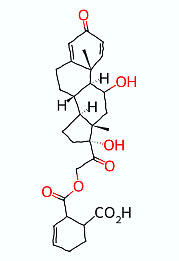 C[C@]12C=CC(=O)C=C1CC[C@@H]1[C@@H]2C(O)C[C@@]2(C)[C@H]1CC[C@]2(O)C(=O)COC(=O)C1C=CCCC1C(=O)O